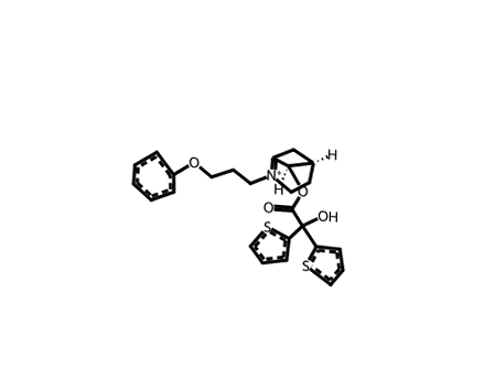 O=C(O[C@H]1C2=[N+](CCCOc3ccccc3)CC[C@@H]1C2)C(O)(c1cccs1)c1cccs1